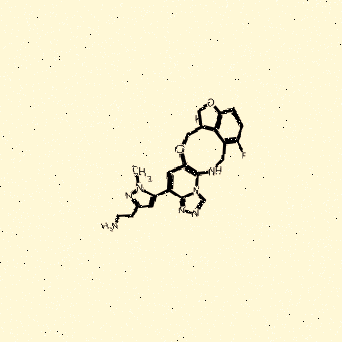 Cn1nc(CCN)cc1-c1cc2c(n3cnnc13)NCc1c(F)ccc3c1[C@@H](CO3)CO2